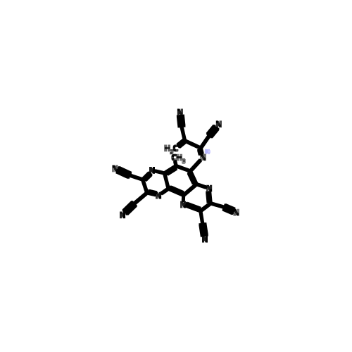 C=C(C#N)/C(C#N)=N\c1c(C)c2nc(C#N)c(C#N)nc2c2nc(C#N)c(C#N)nc12